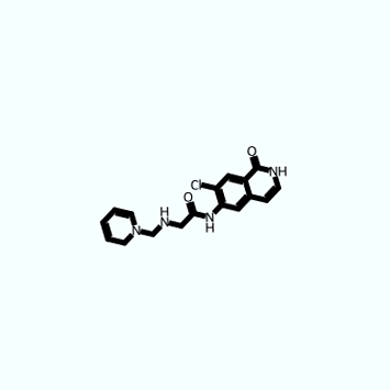 O=C(CNCN1C=CC=CC1)Nc1cc2cc[nH]c(=O)c2cc1Cl